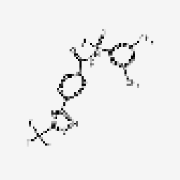 Cc1cc(C)cc([SH](C)(=O)NC(=O)c2ccc(-c3noc(C(F)(F)F)n3)cc2)c1